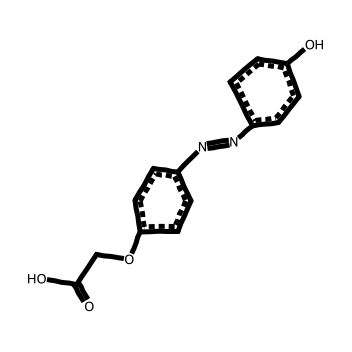 O=C(O)COc1ccc(N=Nc2ccc(O)cc2)cc1